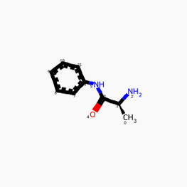 C[C@H](N)C(=O)Nc1cc[c]cc1